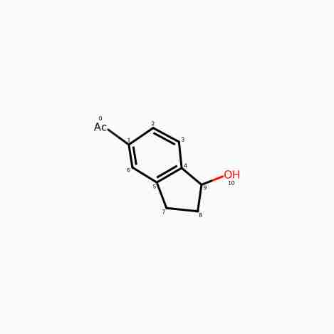 CC(=O)c1ccc2c(c1)CCC2O